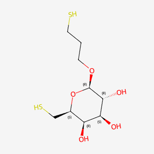 O[C@H]1[C@@H](O)[C@@H](CS)O[C@@H](OCCCS)[C@@H]1O